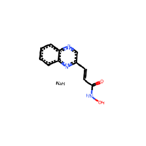 O=C(C=Cc1cnc2ccccc2n1)NO.[NaH]